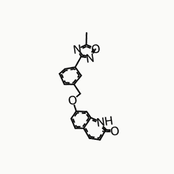 Cc1nc(-c2cccc(COc3ccc4ccc(=O)[nH]c4c3)c2)no1